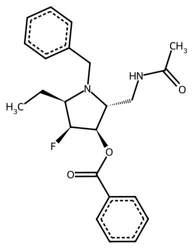 CC[C@@H]1[C@H](F)[C@H](OC(=O)c2ccccc2)[C@@H](CNC(C)=O)N1Cc1ccccc1